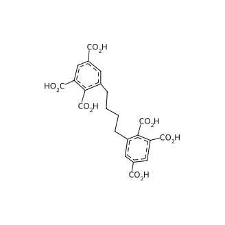 O=C(O)c1cc(CCCCc2cc(C(=O)O)cc(C(=O)O)c2C(=O)O)c(C(=O)O)c(C(=O)O)c1